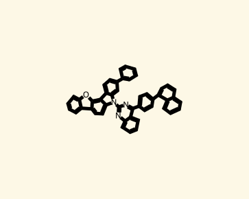 c1ccc(-c2ccc3c4c5oc6ccccc6c5ccc4n(-c4nc(-c5ccc(-c6cccc7ccccc67)cc5)c5ccccc5n4)c3c2)cc1